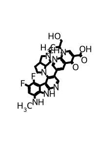 CNc1cc(F)c(F)c2c1[nH]c1ncc(-c3cnc4c(c3)c(=O)c(C(=O)O)cn4C(C)CO)c(N3CCC4CN(C)CC43)c12